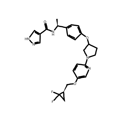 C[C@H](NC(=O)c1cn[nH]c1)c1ccc(OC2CCN(c3ccc(OC[C@H]4CC4(F)F)cn3)C2)cc1